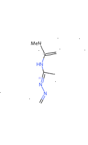 C=N/N=C(\C)NC(=C)NC